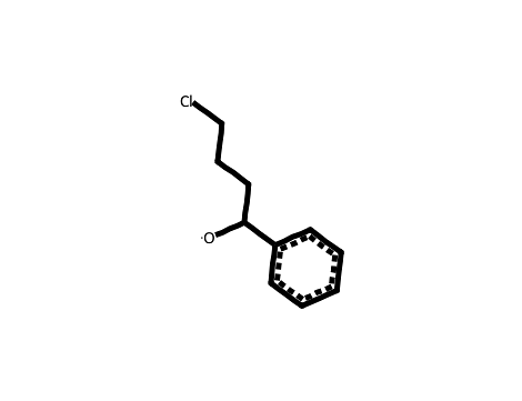 [O]C(CCCCl)c1ccccc1